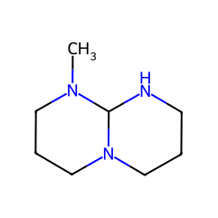 CN1CCCN2CCCNC12